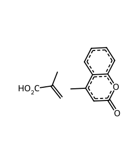 C=C(C)C(=O)O.Cc1cc(=O)oc2ccccc12